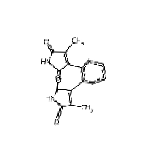 CC1=C(c2ccccc2C2=C(C)C(=O)NC2=O)C(=O)NC1=O